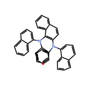 c1ccc(N(c2ccc3ccccc3c2N(c2ccccc2)c2cccc3ccccc23)c2cccc3ccccc23)cc1